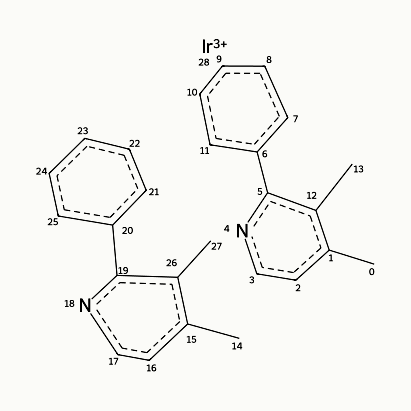 Cc1ccnc(-c2ccccc2)c1C.Cc1ccnc(-c2ccccc2)c1C.[Ir+3]